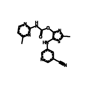 Cc1ccnc(NC(=O)Oc2nc(C)sc2Nc2cncc(C#N)c2)n1